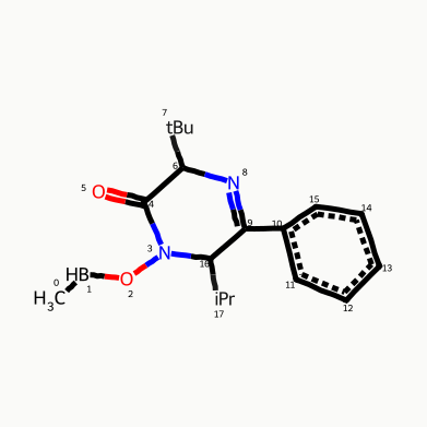 CBON1C(=O)C(C(C)(C)C)N=C(c2ccccc2)C1C(C)C